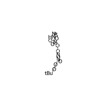 CC(C)(C)CCOCCOCCC(=O)N1CCN(c2ccc(-c3ccc4c(c3)C(=O)N(C(C(=O)Nc3nccs3)c3ccccc3)C4)cc2)CC1